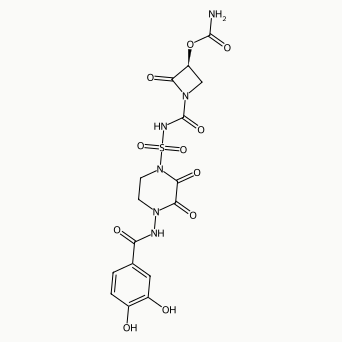 NC(=O)O[C@H]1CN(C(=O)NS(=O)(=O)N2CCN(NC(=O)c3ccc(O)c(O)c3)C(=O)C2=O)C1=O